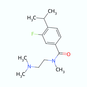 CC(C)c1ccc(C(=O)N(C)CCN(C)C)cc1F